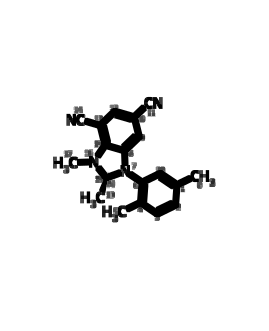 Cc1ccc(C)c(N2c3cc(C#N)cc(C#N)c3N(C)[C@@H]2C)c1